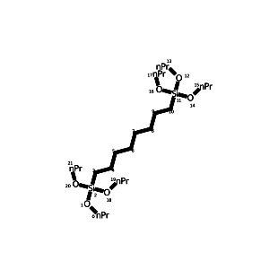 CCCO[Si](CCCCCCCC[Si](OCCC)(OCCC)OCCC)(OCCC)OCCC